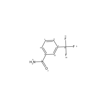 NC(=O)c1cc[c]c(C(F)(F)F)c1